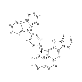 c1ccc2c(c1)sc1c2cc2ccc3cccc4c3c2c1n4-c1ccc(-n2c3ccccc3c3ccccc32)cc1